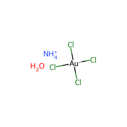 O.[Cl][Au-]([Cl])([Cl])[Cl].[NH4+]